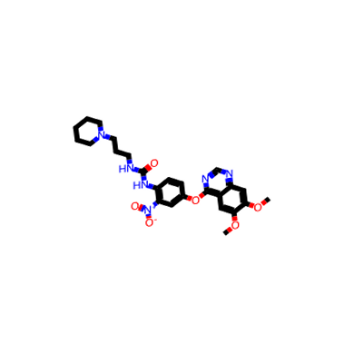 COc1cc2ncnc(Oc3ccc(NC(=O)NCCCN4CCCCC4)c([N+](=O)[O-])c3)c2cc1OC